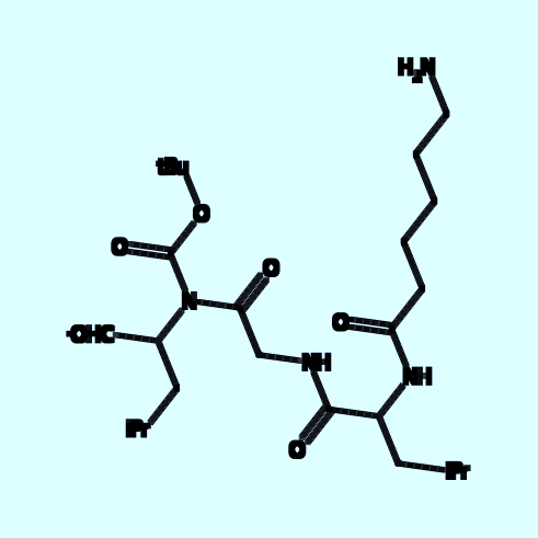 CC(C)CC(NC(=O)CCCCCN)C(=O)NCC(=O)N(C(=O)OC(C)(C)C)C([C]=O)CC(C)C